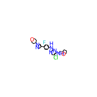 Fc1cc(Nc2ncc(Cl)c(NC[C@H]3CCCO3)n2)ccc1-c1cnn(C2CCOCC2)c1